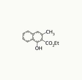 CCOC(=O)c1c(C)cc2ccccc2c1O